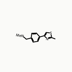 CNCc1ccc(-c2csc(C)n2)cc1